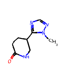 Cn1ncnc1C1CCC(=O)NC1